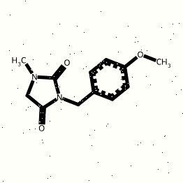 COc1ccc(CN2C(=O)CN(C)C2=O)cc1